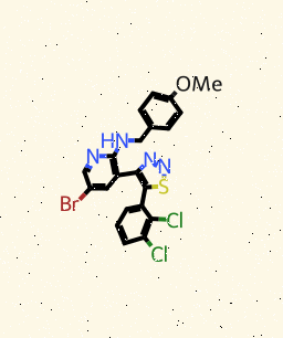 COc1ccc(CNc2ncc(Br)cc2-c2nnsc2-c2cccc(Cl)c2Cl)cc1